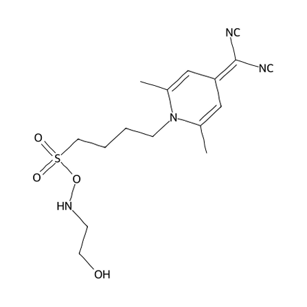 [C-]#[N+]C([N+]#[C-])=C1C=C(C)N(CCCCS(=O)(=O)ONCCO)C(C)=C1